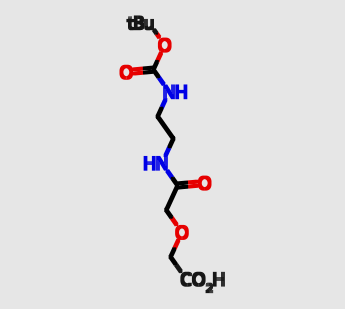 CC(C)(C)OC(=O)NCCNC(=O)COCC(=O)O